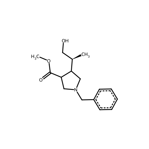 COC(=O)C1CN(Cc2ccccc2)CC1[C@H](C)CO